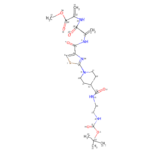 C=C(NC(=O)c1csc(N2CCC(C(=O)NCCNC(=O)OC(C)(C)C)CC2)n1)C(=O)NC(=C)C(=O)OC